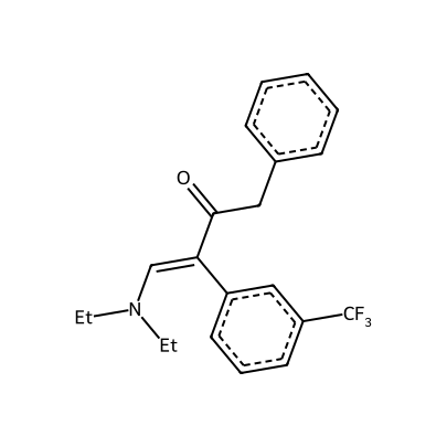 CCN(/C=C(/C(=O)Cc1ccccc1)c1cccc(C(F)(F)F)c1)CC